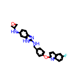 Fc1ccc2nc(Oc3ccc(CNc4nc5ccc(NC6COC6)cc5[nH]4)cc3)ccc2c1